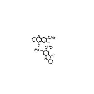 COc1cc2nc3c(c(Cl)c2cc1OC(=O)Oc1cc2c(Cl)c4c(nc2cc1OC)CCC4)CCC3